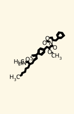 CCCCCCC(Cc1cc(-c2ccc(CC(OCC)C(=O)N3C(=O)OCC3Cc3ccccc3)cc2)cs1)C(=O)NC